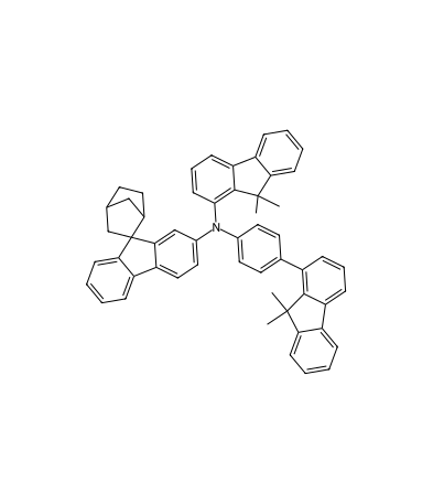 CC1(C)c2ccccc2-c2cccc(-c3ccc(N(c4ccc5c(c4)C4(CC6CCC4C6)c4ccccc4-5)c4cccc5c4C(C)(C)c4ccccc4-5)cc3)c21